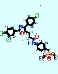 CCOP(=O)(Cc1ccc(NC(=O)CCc2oc(-c3ccc(Cl)c(Cl)c3)nc2-c2ccc(Cl)cc2)cc1)OCC